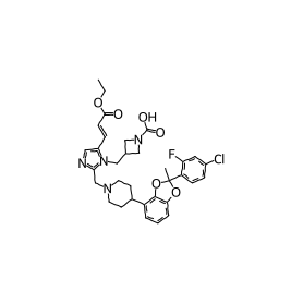 CCOC(=O)C=Cc1cnc(CN2CCC(c3cccc4c3OC(C)(c3ccc(Cl)cc3F)O4)CC2)n1CC1CN(C(=O)O)C1